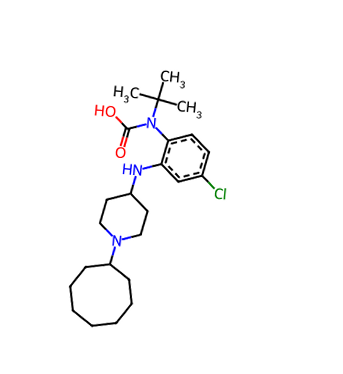 CC(C)(C)N(C(=O)O)c1ccc(Cl)cc1NC1CCN(C2CCCCCCC2)CC1